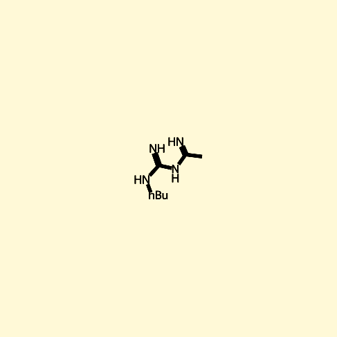 CCCCNC(=N)NC(C)=N